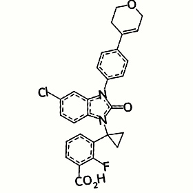 O=C(O)c1cccc(C2(n3c(=O)n(-c4ccc(C5=CCOCC5)cc4)c4cc(Cl)ccc43)CC2)c1F